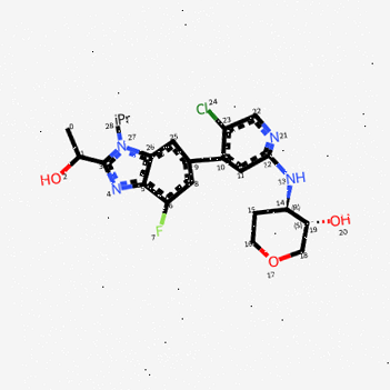 CC(O)c1nc2c(F)cc(-c3cc(N[C@@H]4CCOC[C@H]4O)ncc3Cl)cc2n1C(C)C